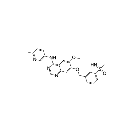 COc1cc2c(Nc3ccc(C)nc3)ncnc2cc1OCc1cccc(S(C)(=N)=O)c1